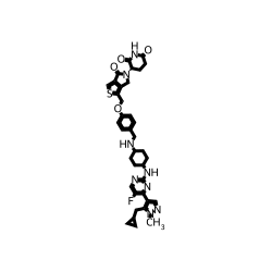 Cn1ncc(-c2nc(NC3CCC(NCc4ccc(OCc5scc6c5CN([C@H]5CCC(=O)NC5=O)C6=O)cc4)CC3)ncc2F)c1CC1CC1